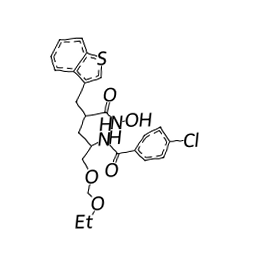 CCOCOCC(CC(Cc1csc2ccccc12)C(=O)NO)NC(=O)c1ccc(Cl)cc1